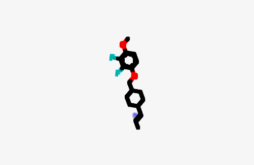 C/C=C/C1CCC(COc2ccc(OC)c(F)c2F)CC1